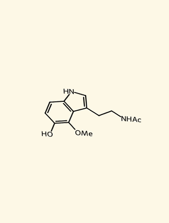 COc1c(O)ccc2[nH]cc(CCNC(C)=O)c12